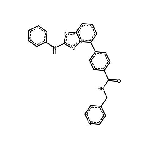 O=C(NCc1ccncc1)c1ccc(-c2cccc3nc(Nc4ccccc4)nn23)cc1